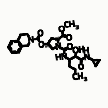 CCCC(NC(=O)N1C[C@@H](OC(=O)N2CCc3ccccc3C2)C[C@H]1C(=O)OC)C(O)C(=O)NC1CC1